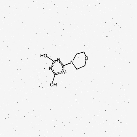 Oc1nc(O)nc(N2CCOCC2)n1